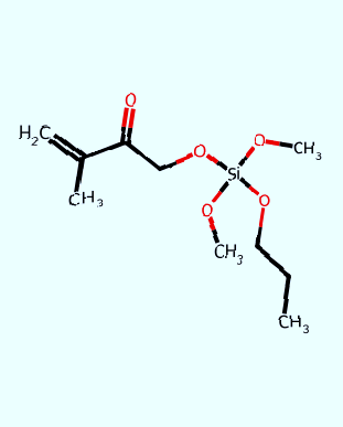 C=C(C)C(=O)CO[Si](OC)(OC)OCCC